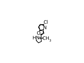 C[C@@]1(c2cc3nc(Cl)ccc3o2)CCCN1